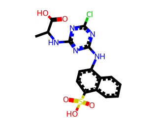 CC(Nc1nc(Cl)nc(Nc2ccc(S(=O)(=O)O)c3ccccc23)n1)C(=O)O